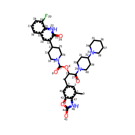 Cc1cc(CC(OC(=O)N2CCC(c3cc4cccc(F)c4[nH]c3=O)CC2)C(=O)N2CCC(N3CCCCC3)CC2)cc2oc(=O)[nH]c12